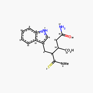 CNC(=S)C(Cc1c[nH]c2ccccc12)C(CC(N)=O)C(=O)O